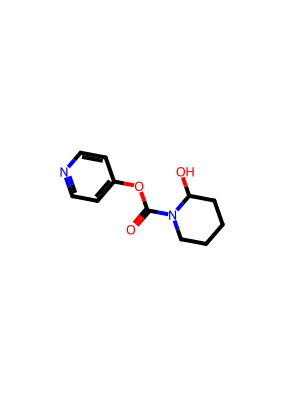 O=C(Oc1ccncc1)N1CCCCC1O